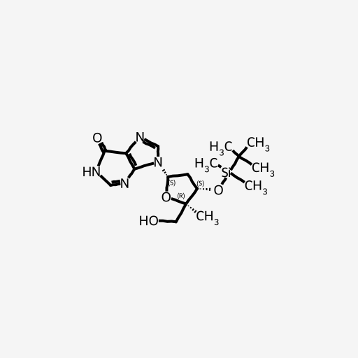 CC(C)(C)[Si](C)(C)O[C@H]1C[C@@H](n2cnc3c(=O)[nH]cnc32)O[C@]1(C)CO